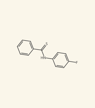 Fc1ccc(NC(=S)c2ccccc2)cc1